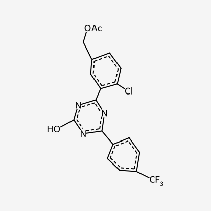 CC(=O)OCc1ccc(Cl)c(-c2nc(O)nc(-c3ccc(C(F)(F)F)cc3)n2)c1